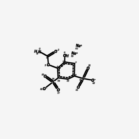 NC(=O)Oc1c(O)cc(S(=O)(=O)[O-])cc1S(=O)(=O)[O-].[Na+].[Na+]